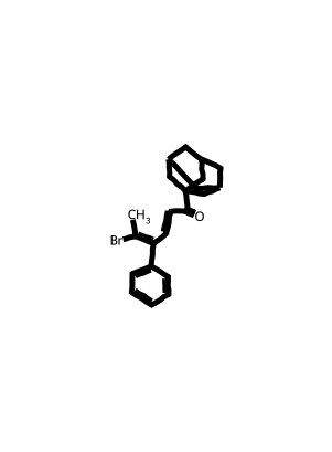 CC(Br)=C(C=CC(=O)C12CC3CC(CC(C3)C1)C2)c1ccccc1